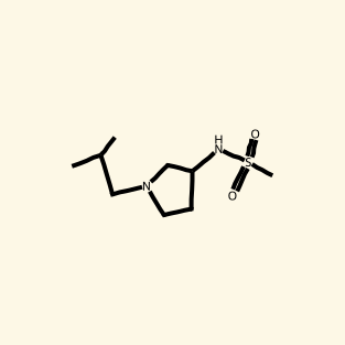 C[C](C)CN1CCC(NS(C)(=O)=O)C1